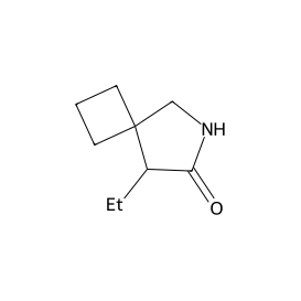 CCC1C(=O)NCC12CCC2